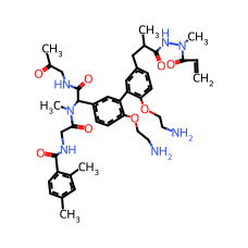 C=CC(=O)N(C)NC(=O)C(C)Cc1ccc(OCCN)c(-c2cc(C(C(=O)NCC(C)=O)N(C)C(=O)CNC(=O)c3ccc(C)cc3C)ccc2OCCN)c1